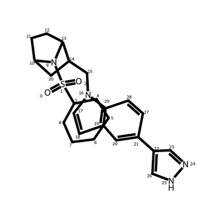 O=S(=O)(C1CCCCC1)N1C2CCC1C(Cn1ccc3cc(-c4cn[nH]c4)ccc31)C2